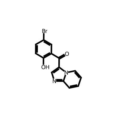 O=C(c1cc(Br)ccc1O)c1cnc2ccccn12